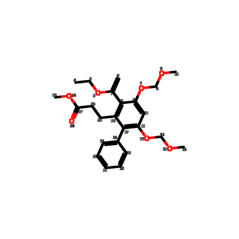 C=C(OCC)c1c(OCOC)cc(OCOC)c(-c2ccccc2)c1CCC(=O)OC